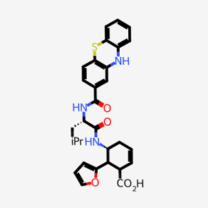 CC(C)C[C@H](NC(=O)c1ccc2c(c1)Nc1ccccc1S2)C(=O)N[C@H]1CC=CC(C(=O)O)C1c1ccco1